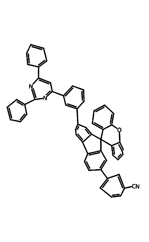 N#Cc1cccc(-c2ccc3c(c2)C2(c4ccccc4Oc4ccccc42)c2cc(-c4cccc(-c5cc(-c6ccccc6)nc(-c6ccccc6)n5)c4)ccc2-3)c1